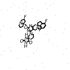 CN1Cc2c(nc(OC[C@@]34CCCN3C[C@H](F)C4)nc2N2CCC[C@]3(C2)NC(=O)NC3=O)C[C@]12CCc1c(F)ccc(F)c12